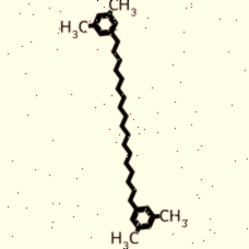 Cc1cc(C)cc(CCCCCCCCCCCCCCCCCCc2cc(C)cc(C)c2)c1